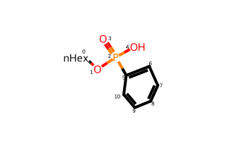 CCCCCCOP(=O)(O)c1ccccc1